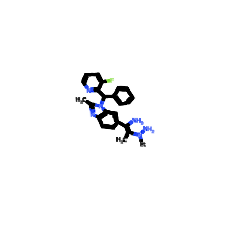 CCN(N)/C(C)=C(\N)c1ccc2nc(C)n(C(c3ccccc3)c3ncccc3F)c2c1